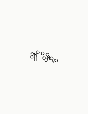 CC1(C)c2ccccc2-c2ccc(N(c3cccc(-c4ccc(-c5cccc(Nc6cccc7ccccc67)c5)cc4)c3)c3cccc4ccccc34)cc21